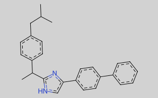 CC(C)Cc1ccc(C(C)c2nc(-c3ccc(-c4ccccc4)cc3)c[nH]2)cc1